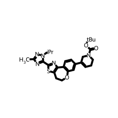 Cc1nc(-c2nc3c(s2)CCOc2cc(C4=CCCN(C(=O)OC(C)(C)C)C4)ccc2-3)n(C(C)C)n1